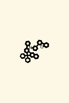 C1=CCCC(C2(C3=CCCC=C3)c3cc4ccccc4cc3-c3c2ccc2c4ccccc4n(-c4cccc(-c5cccc6c5oc5ccccc56)c4)c32)=C1